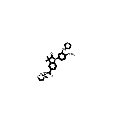 C1CCSC1.CC(=O)Nc1ccc(N2C(=O)C(C)(C)c3cc(C(=O)NS4(C)CCOO4)ccc32)cc1O